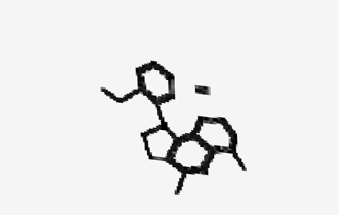 CCc1ccccc1N1CCc2c(C)nc3c(C)cccc3c21.Cl